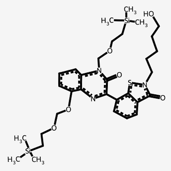 C[Si](C)(C)CCOCOc1cccc2c1nc(-c1cccc3c(=O)n(CCCCCO)sc13)c(=O)n2COCC[Si](C)(C)C